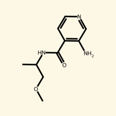 COCC(C)NC(=O)c1ccncc1N